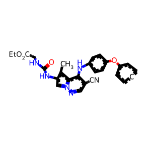 CCOC(=O)CNC(=O)Nc1cn2ncc(C#N)c(Nc3ccc(Oc4ccccc4)cc3)c2c1C